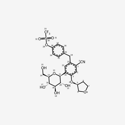 N#Cc1cc(O[C@H]2CCOC2)c([C@@H]2O[C@H](CO)[C@@H](O)[C@H](O)[C@H]2O)cc1Cc1ccc(OS(=O)(=O)C(F)(F)F)cc1